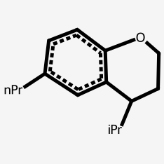 CCCc1ccc2c(c1)C(C(C)C)CCO2